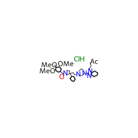 COc1cc(C(=O)N2CCC(CCN3CCCN(c4nc5ccccc5n4CCCC(C)=O)CC3)(c3ccccc3)C2)cc(OC)c1OC.Cl